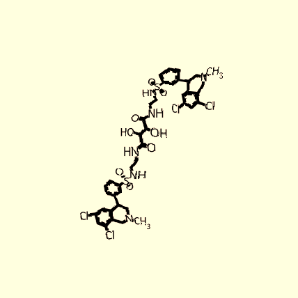 CN1Cc2c(Cl)cc(Cl)cc2C(c2cccc(S(=O)(=O)NCCNC(=O)C(O)C(O)C(=O)NCCNS(=O)(=O)c3cccc(C4CN(C)Cc5c(Cl)cc(Cl)cc54)c3)c2)C1